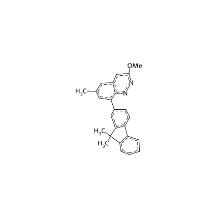 COc1cc2cc(C)cc(-c3ccc4c(c3)C(C)(C)c3ccccc3-4)c2nn1